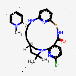 CN1C=CC=CC1[C@H]1CC[C@@H]2CN(c3nc(Br)ccc3C(=O)NSc3cccc(n3)N1)C(C)(C)C2